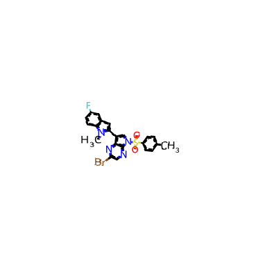 Cc1ccc(S(=O)(=O)n2cc(-c3cc4cc(F)ccc4n3C)c3nc(Br)cnc32)cc1